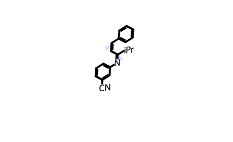 CC(C)C(/C=C\c1ccccc1)=N/c1cccc(C#N)c1